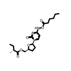 CCCCCC(=O)ONc1ccn([C@H]2CC[C@@H](COC(=O)[C@H](C)CC)O2)c(=O)n1